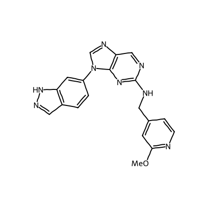 COc1cc(CNc2ncc3ncn(-c4ccc5cn[nH]c5c4)c3n2)ccn1